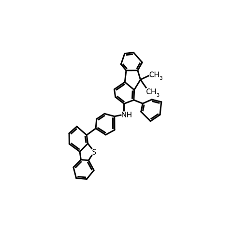 CC1(C)c2ccccc2-c2ccc(Nc3ccc(-c4cccc5c4sc4ccccc45)cc3)c(-c3ccccc3)c21